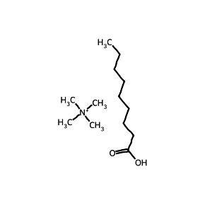 CCCCCCCCC(=O)O.C[N+](C)(C)C